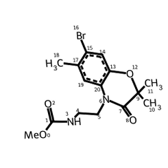 COC(=O)NCCN1C(=O)C(C)(C)Oc2cc(Br)c(C)cc21